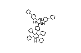 c1ccc(C2=C(c3ccccc3)C(c3ccc(C4NC(c5ccc(-c6ccccc6)cc5)NC(c5ccc(-c6ccccc6)cc5)N4)cc3)=C(c3ccccc3)C(c3ccccc3)N2)cc1